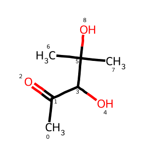 CC(=O)C(O)C(C)(C)O